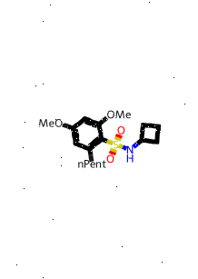 CCCCCc1cc(OC)cc(OC)c1S(=O)(=O)NC1CCC1